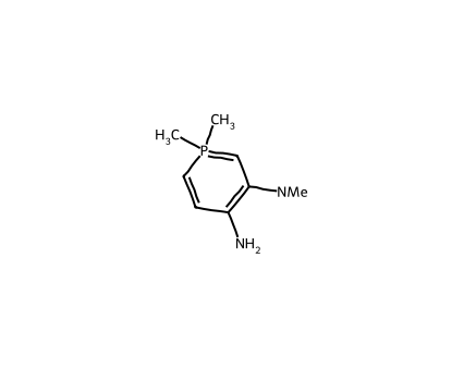 CNC1=C(N)C=CP(C)(C)=C1